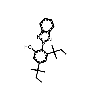 CCC(C)(C)c1cc(O)c(-n2nc3ccccc3n2)c(C(C)(C)CC)c1